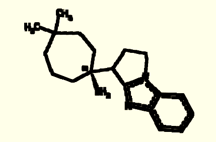 B[C@]1(C2CCn3c2nc2ccccc23)CCCC(C)(C)CC1